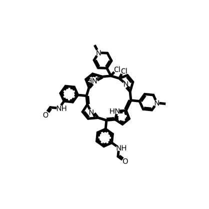 CN1C=CC(C2=c3ccc([nH]3)=C(c3cccc(NC=O)c3)C3=NC(=C(c4cccc(NC=O)c4)c4ccc([nH]4)C(Cl)(C4=CCN(C)C=C4)C4(Cl)C=CC2=N4)C=C3)=CC1